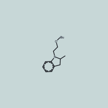 CCC(C)OCCN1c2ccccc2CC1C